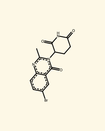 Cc1nc2ccc(Br)cc2c(=O)n1C1CCC(=O)NC1=O